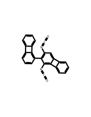 O=C=Nc1cc2c(c(N=C=O)c1-c1cccc3c1-c1ccccc1-3)-c1ccccc1-2